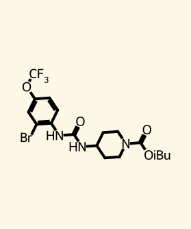 CC(C)COC(=O)N1CCC(NC(=O)Nc2ccc(OC(F)(F)F)cc2Br)CC1